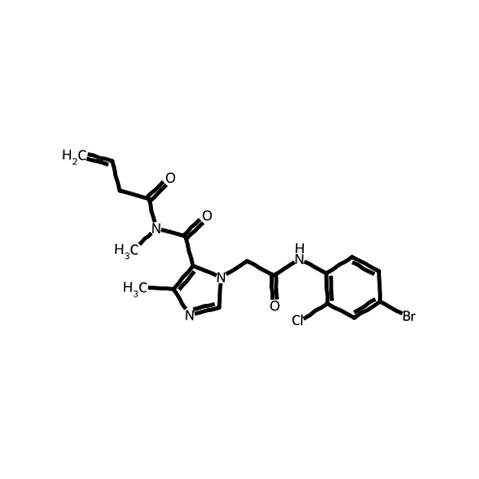 C=CCC(=O)N(C)C(=O)c1c(C)ncn1CC(=O)Nc1ccc(Br)cc1Cl